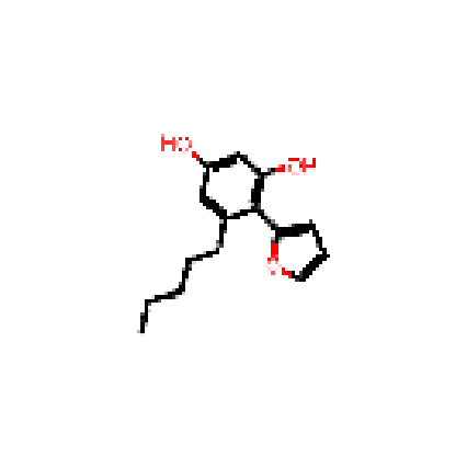 CCCCCc1cc(O)cc(O)c1-c1ccco1